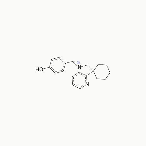 Oc1ccc(/C=N/CC2(c3ccccn3)CCCCC2)cc1